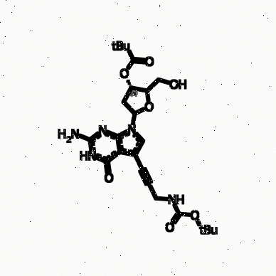 CC(C)(C)OC(=O)NCC#Cc1cn(C2C[C@H](OC(=O)C(C)(C)C)C(CO)O2)c2nc(N)[nH]c(=O)c12